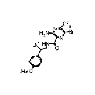 COc1ccc(C(CNC(=O)c2nc(Br)c(C(F)(F)F)nc2N)N(C)C)cc1